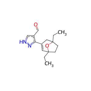 CCC12C=C(c3n[nH]cc3C=O)CC(CC)(CC1)O2